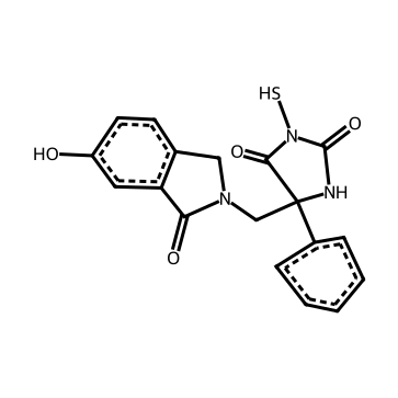 O=C1c2cc(O)ccc2CN1CC1(c2ccccc2)NC(=O)N(S)C1=O